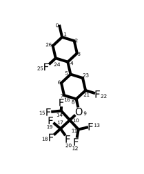 CC1CCC(C2CCC(OC(C(F)F)(C(F)F)C(F)(F)F)C(F)C2)C(F)C1